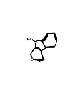 N#Cn1c2c(c3ccccc31)CCOC2